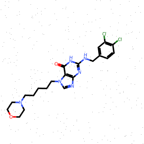 O=c1[nH]c(NCc2ccc(Cl)c(Cl)c2)nc2ncn(CCCCCN3CCOCC3)c12